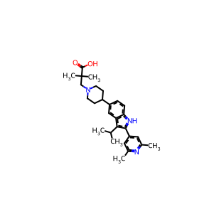 Cc1cc(-c2[nH]c3ccc(C4CCN(CC(C)(C)C(=O)O)CC4)cc3c2C(C)C)cc(C)n1